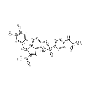 CC(=O)Nc1ccc(S(=O)(=O)Nc2cccc3c2cc(C(=O)O)n3Cc2ccc(Cl)c(Cl)c2)cc1